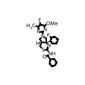 COc1nc(N2C[C@H]3CSC(NC(=O)c4ccccc4)=N[C@@]3(c3ccccc3F)C2)nc(C)c1F